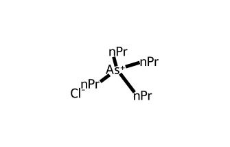 CCC[As+](CCC)(CCC)CCC.[Cl-]